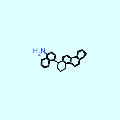 Nc1ccc(C2CCCc3c2ccc2c3ccc3ccccc32)c2ccccc12